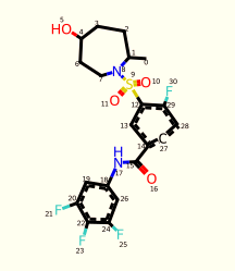 CC1CCC(O)CCN1S(=O)(=O)c1cc(C(=O)Nc2cc(F)c(F)c(F)c2)ccc1F